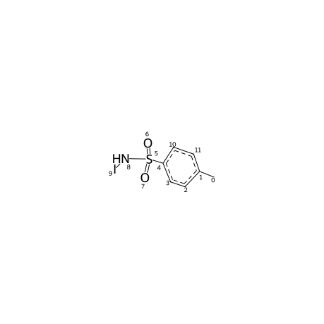 Cc1ccc(S(=O)(=O)NI)cc1